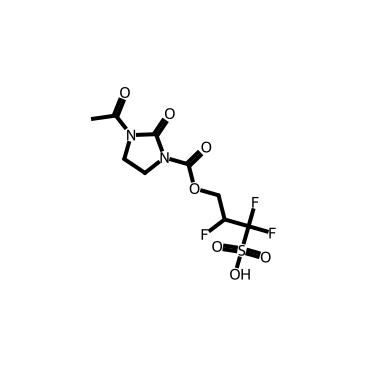 CC(=O)N1CCN(C(=O)OCC(F)C(F)(F)S(=O)(=O)O)C1=O